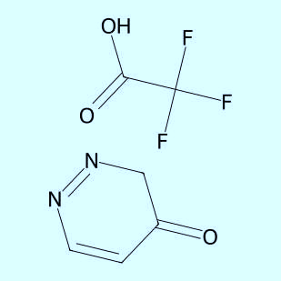 O=C(O)C(F)(F)F.O=C1C=CN=NC1